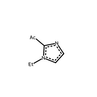 CCn1ccnc1C(C)=O